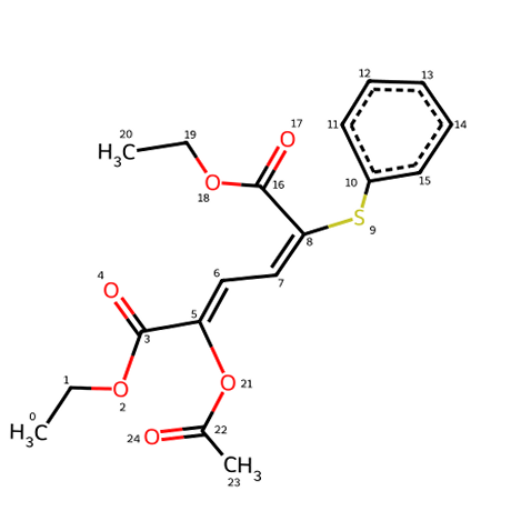 CCOC(=O)C(=CC=C(Sc1ccccc1)C(=O)OCC)OC(C)=O